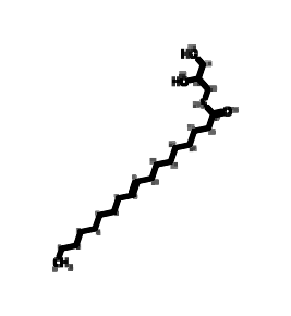 CCCCCCCCC=CCCCCCCCC(=O)SCC(O)CO